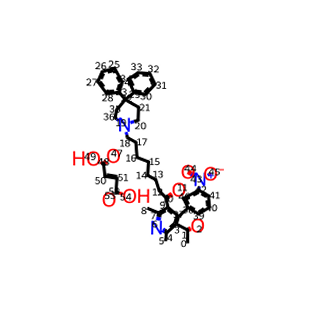 CC(=O)c1c(C)nc(C)c(C(=O)CCCCCCCN2CCC(c3ccccc3)(c3ccccc3)CC2)c1-c1cccc([N+](=O)[O-])c1.O=C(O)C=CC(=O)O